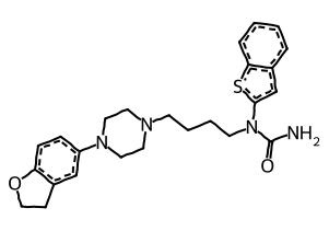 NC(=O)N(CCCCN1CCN(c2ccc3c(c2)CCO3)CC1)c1cc2ccccc2s1